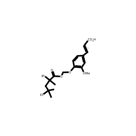 CCC(C)(C)CC(C)(C(=O)OCOc1ccc(/C=C/C(=O)O)cc1OC)C(C)C